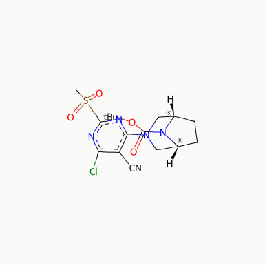 CC(C)(C)OC(=O)N1[C@@H]2CC[C@H]1CN(c1nc(S(C)(=O)=O)nc(Cl)c1C#N)C2